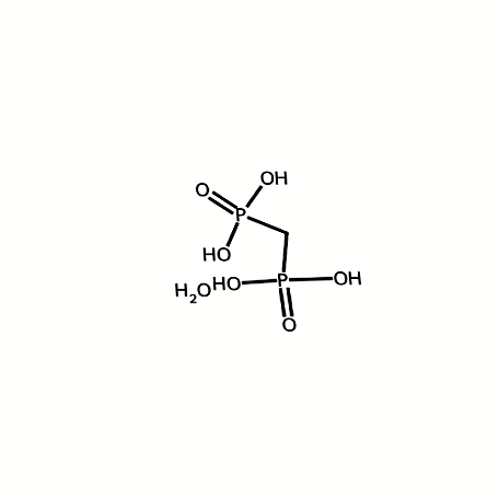 O.O=P(O)(O)CP(=O)(O)O